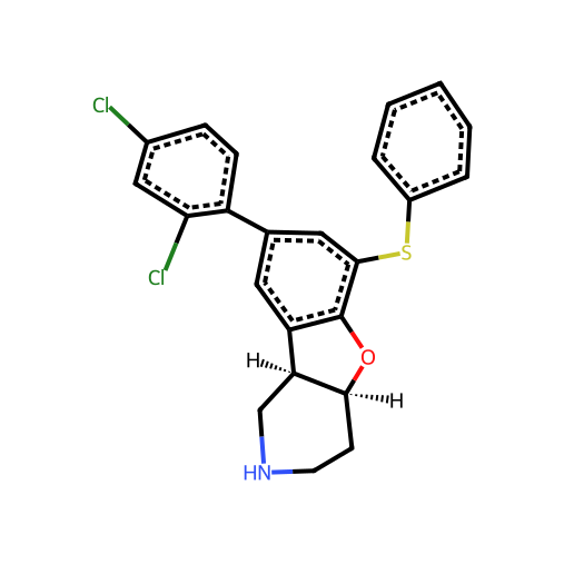 Clc1ccc(-c2cc(Sc3ccccc3)c3c(c2)[C@@H]2CNCC[C@@H]2O3)c(Cl)c1